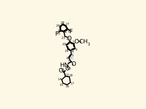 COc1cc(/C=C/C(=O)NOC(=O)C2CCCCC2)ccc1OCc1c(F)cccc1F